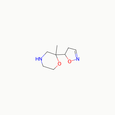 CC1(C2CC=NO2)CNCCO1